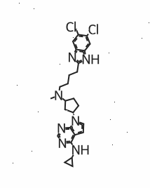 CN(CCCCc1nc2cc(Cl)c(Cl)cc2[nH]1)C1CC[C@H](n2ccc3c(NC4CC4)ncnc32)C1